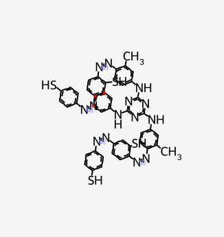 Cc1cc(Nc2nc(Nc3ccccc3)nc(Nc3ccc(/N=N\c4ccc(/N=N\c5ccc(S)cc5)cc4S)c(C)c3)n2)ccc1/N=N\c1ccc(/N=N\c2ccc(S)cc2)cc1S